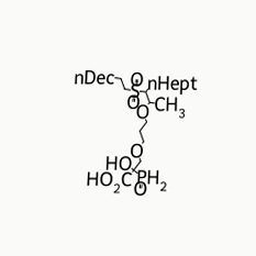 CCCCCCCCCCCCS(=O)(=O)C(CCCCCCC)C(C)OCCCOCC(O)([PH2]=O)C(=O)O